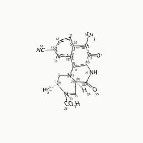 C[C@@H]1CN2c3c(c(=O)n(C)c4ccc(C#N)nc34)NC(=O)[C@H]2CN1C(=O)O